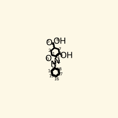 O=C1CC(C(=O)O)CC(O)=C1/N=N/c1ccccc1